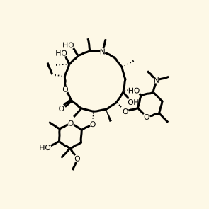 CC[C@H]1OC(=O)C(C)[C@@H](OC2CC(C)(OC)C(O)C(C)O2)[C@H](C)[C@@H](OC2OC(C)CC(N(C)C)C2O)[C@](C)(O)C[C@@H](C)CN(C)C(C)C(O)[C@]1(C)O